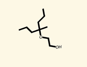 CCCC(C)(CCC)OCCO